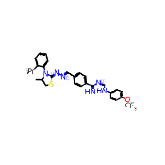 CC(C)c1ccccc1N1/C(=N/N=C/c2ccc(C(=N)/N=C\Nc3ccc(OC(F)(F)F)cc3)cc2)SCC1C